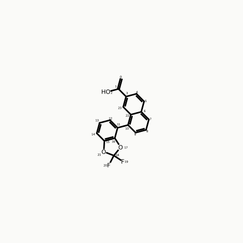 C=C(O)c1ccc2cccc(-c3cccc4c3OC(F)(F)O4)c2c1